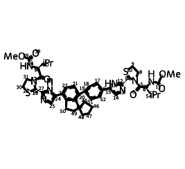 COC(=O)N[C@H](C(=O)N1CCS[C@H]1c1ncc(-c2ccc(-c3ccc(-c4cnc([C@@H]5SCCN5C(=O)[C@@H](NC(=O)OC)C(C)C)[nH]4)c4c3C3(CCCC3)CC4)cc2)[nH]1)C(C)C